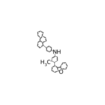 CC1C=C(Nc2ccc(-c3cccc4c3ccc3ccccc34)cc2)C=CC1c1cccc2oc3ccccc3c12